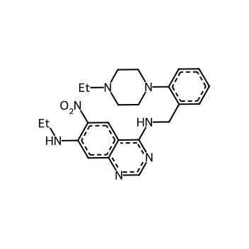 CCNc1cc2ncnc(NCc3ccccc3N3CCN(CC)CC3)c2cc1[N+](=O)[O-]